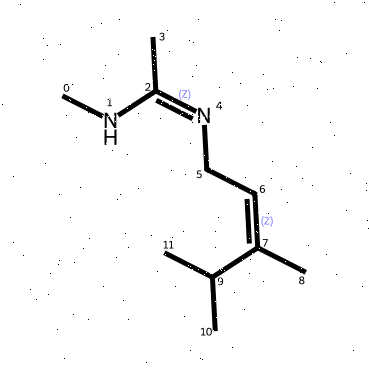 CN/C(C)=N\C/C=C(/C)C(C)C